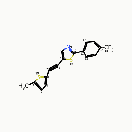 Cc1ccc(C#Cc2cnc(-c3ccc(C(F)(F)F)cc3)s2)s1